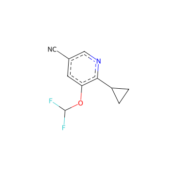 N#Cc1cnc(C2CC2)c(OC(F)F)c1